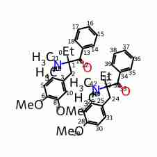 CCC(Cc1ccc(OC)c(OC)c1)(C(=O)c1ccccc1)N(C)C.CCC(Cc1ccc(OC)cc1)(C(=O)c1ccccc1)N(C)C